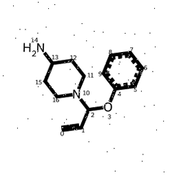 C=CC(Oc1ccccc1)N1CCC(N)CC1